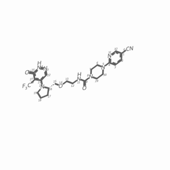 N#Cc1ccc(N2CCN(C(=O)NCCOC[C@@H]3CCCN3c3cn[nH]c(=O)c3C(F)(F)F)CC2)nc1